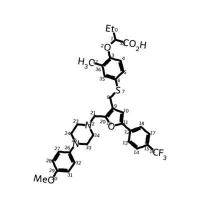 CCC(Oc1ccc(SCc2cc(-c3ccc(C(F)(F)F)cc3)oc2CN2CCN(c3ccc(OC)cc3)CC2)cc1C)C(=O)O